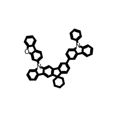 c1ccc(-n2c3ccccc3c3cc(-c4ccc5c(c4)-c4cc6c(cc4C54CCCCC4)c4ccccc4n6-c4ccc5c(c4)oc4ccccc45)ccc32)cc1